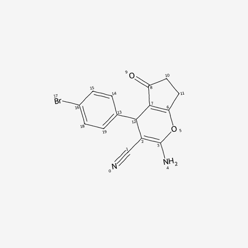 N#CC1=C(N)OC2=C(C(=O)CC2)C1c1ccc(Br)cc1